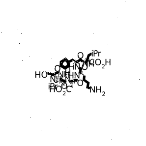 CC(C)C[C@H](NC(=O)[C@H](Cc1ccccc1)NC(=O)[C@H](CCCCN)NC(=O)[C@H](CC(=O)O)NC(=O)[C@H](CC(C)C)NC(=O)[C@@H](N)CO)C(=O)O